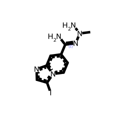 CN(N)/N=C(\N)c1ccn2c(I)cnc2c1